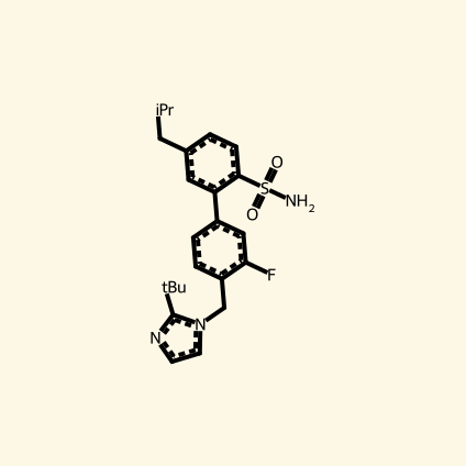 CC(C)Cc1ccc(S(N)(=O)=O)c(-c2ccc(Cn3ccnc3C(C)(C)C)c(F)c2)c1